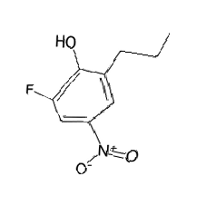 CCCc1cc([N+](=O)[O-])cc(F)c1O